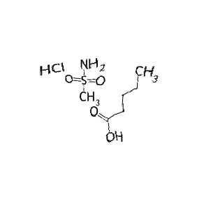 CCCCC(=O)O.CS(N)(=O)=O.Cl